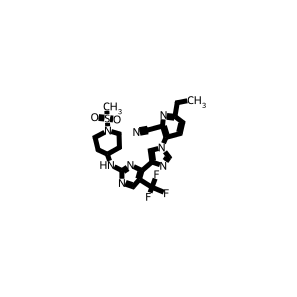 CCc1ccc(-n2cnc(-c3nc(NC4CCN(S(C)(=O)=O)CC4)ncc3C(F)(F)F)c2)c(C#N)n1